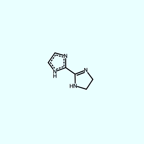 c1c[nH]c(C2=NCCN2)n1